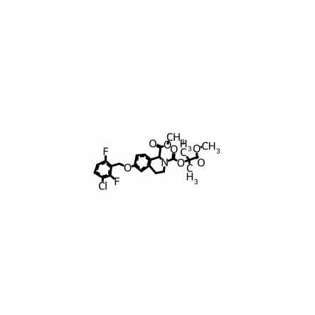 COC(=O)C1c2ccc(OCc3c(F)ccc(Cl)c3F)cc2CCN1C(=O)OC(C)(C)C(=O)OC